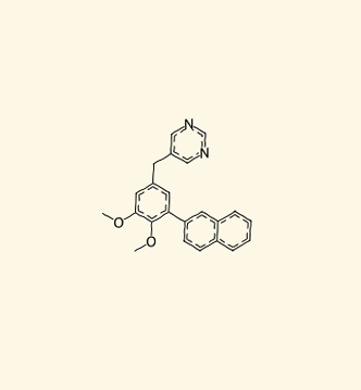 COc1cc(Cc2cncnc2)cc(-c2ccc3ccccc3c2)c1OC